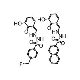 CC(C)Cc1ccc(S(=O)(=O)NNC=C2C=CC=C(O)C2=O)cc1.O=C1C(O)=CC=CC1=CNNS(=O)(=O)c1ccc2ccccc2c1